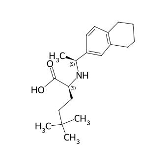 C[C@H](N[C@@H](CCC(C)(C)C)C(=O)O)c1ccc2c(c1)CCCC2